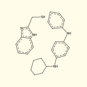 SCc1nc2ccccc2[nH]1.c1ccc(Nc2ccc(NC3CCCCC3)cc2)cc1